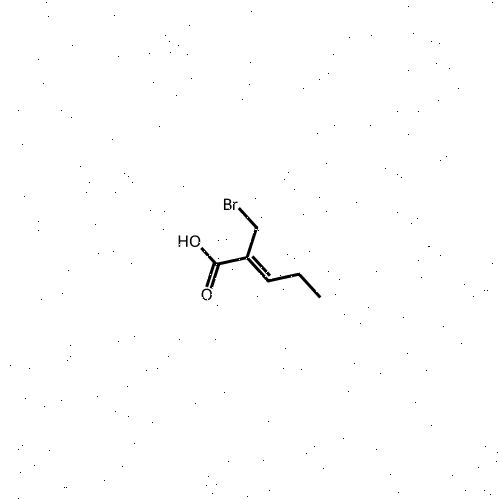 CC/C=C(\CBr)C(=O)O